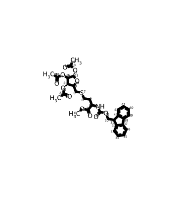 COC(=O)C(CCSCC1O[C@@H](OC(C)=O)C(OC(C)=O)[C@@H]1OC(C)=O)NC(=O)OCC1c2ccccc2-c2ccccc21